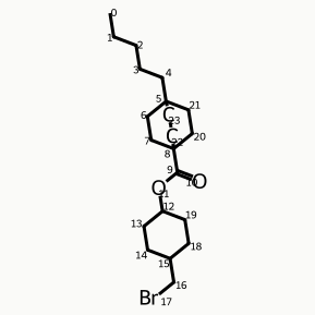 CCCCCC12CCC(C(=O)OC3CCC(CBr)CC3)(CC1)CC2